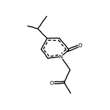 CC(=O)Cn1ccc(C(C)C)cc1=O